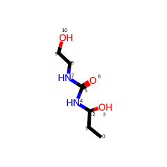 CCC(O)NC(=O)NCCO